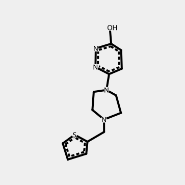 Oc1ccc(N2CCN(Cc3cccs3)CC2)nn1